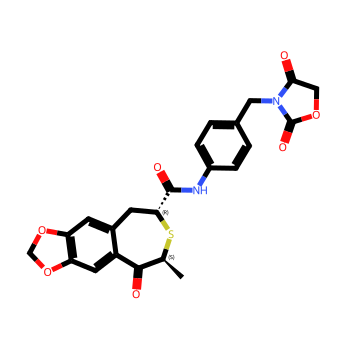 C[C@@H]1S[C@@H](C(=O)Nc2ccc(CN3C(=O)COC3=O)cc2)Cc2cc3c(cc2C1=O)OCO3